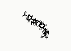 CC(C)N1CCC(c2cn(Cc3ccc(-c4nnc(C(F)F)o4)cn3)nn2)CC1